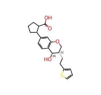 O=C(O)C1CCCC1c1ccc2c(c1)OC[C@H](CCc1cccs1)[C@H]2O